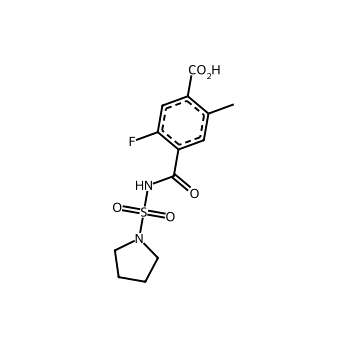 Cc1cc(C(=O)NS(=O)(=O)N2CCCC2)c(F)cc1C(=O)O